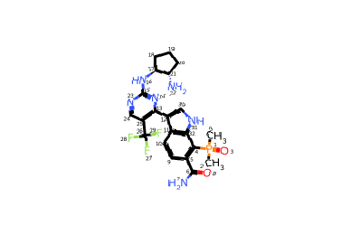 CP(C)(=O)c1c(C(N)=O)ccc2c(-c3nc(N[C@H]4CCC[C@@H]4N)ncc3C(F)(F)F)c[nH]c12